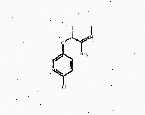 C/N=C(/N)C(C)Oc1ccc(Cl)nc1